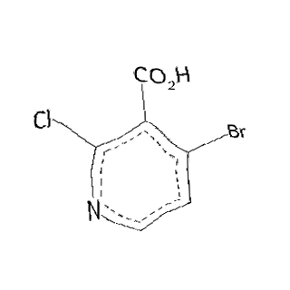 O=C(O)c1c(Br)ccnc1Cl